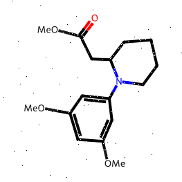 COC(=O)CC1CCCCN1c1cc(OC)cc(OC)c1